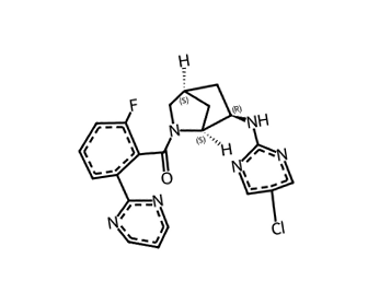 O=C(c1c(F)cccc1-c1ncccn1)N1C[C@H]2C[C@@H](Nc3ncc(Cl)cn3)[C@@H]1C2